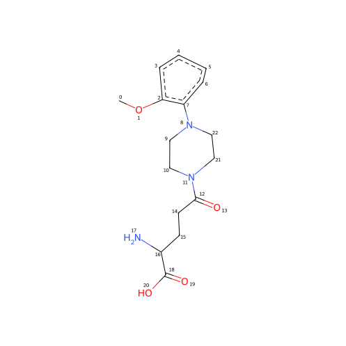 COc1ccccc1N1CCN(C(=O)CCC(N)C(=O)O)CC1